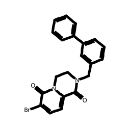 O=C1c2ccc(Br)c(=O)n2CCN1Cc1cccc(-c2ccccc2)c1